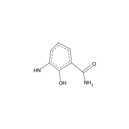 [NH]c1cccc(C(N)=O)c1O